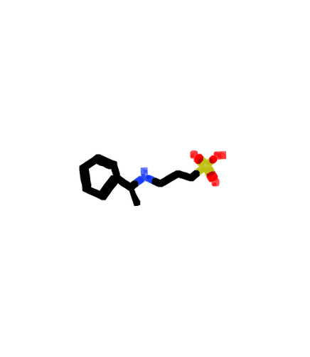 C[C@H](NCCCS(=O)(=O)O)c1ccccc1